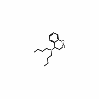 CCCCN(CCCC)C1[C]OOc2ccccc21